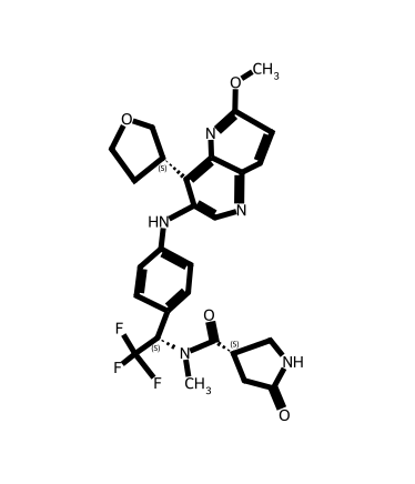 COc1ccc2ncc(Nc3ccc([C@H](N(C)C(=O)[C@@H]4CNC(=O)C4)C(F)(F)F)cc3)c([C@@H]3CCOC3)c2n1